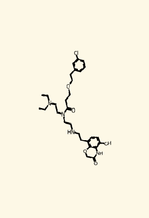 CCN(CC)CCN(CCNCCc1ccc(O)c2c1OCC(=O)N2)C(=O)CCOCCc1cccc(Cl)c1